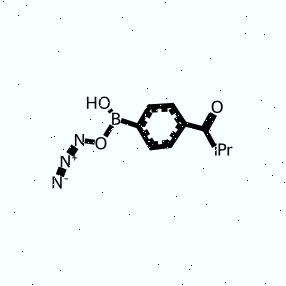 CC(C)C(=O)c1ccc(B(O)ON=[N+]=[N-])cc1